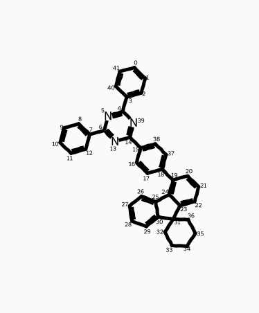 c1ccc(-c2nc(-c3ccccc3)nc(-c3ccc(-c4cccc5c4-c4ccccc4C54CCCCC4)cc3)n2)cc1